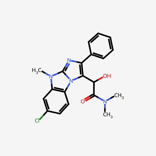 CN(C)C(=O)C(O)c1c(-c2ccccc2)nc2n(C)c3cc(Cl)ccc3n12